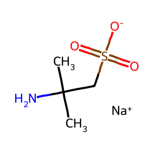 CC(C)(N)CS(=O)(=O)[O-].[Na+]